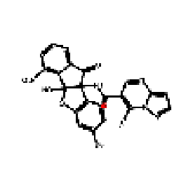 Cc1c(C(=O)NC23C(=O)c4cccc([N+](=O)[O-])c4C2(O)Oc2cc(C(C)C)ccc23)cnc2ccnn12